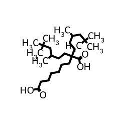 CC(CCC(CCCCCCC(=O)O)(CCC(C)CC(C)(C)C)C(=O)O)CC(C)(C)C